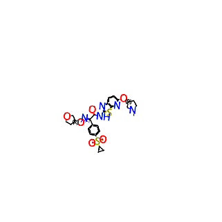 CN1CC[C@@H](Oc2ccc3nc(NC(=O)/C(=N/O[C@@H]4CCOC4)c4ccc(S(=O)(=O)C5CC5)cc4)sc3n2)C1